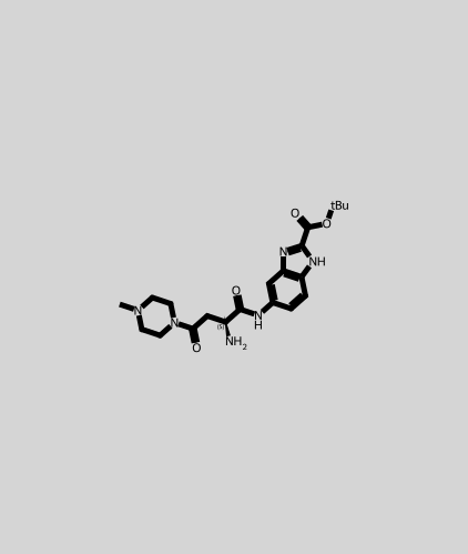 CN1CCN(C(=O)C[C@H](N)C(=O)Nc2ccc3[nH]c(C(=O)OC(C)(C)C)nc3c2)CC1